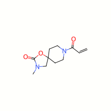 C=CC(=O)N1CCC2(CC1)CN(C)C(=O)O2